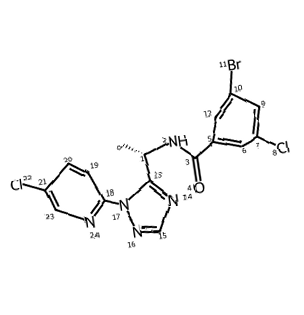 C[C@H](NC(=O)c1cc(Cl)cc(Br)c1)c1ncnn1-c1ccc(Cl)cn1